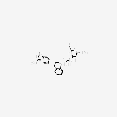 CC(C)(C)c1cc(NC(=O)N[C@H]2CC[C@@H](Oc3ccc4nnc(C(C)(C)C)n4c3)c3ccccc32)nc(CO)n1